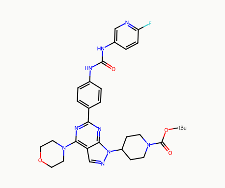 CC(C)(C)OC(=O)N1CCC(n2ncc3c(N4CCOCC4)nc(-c4ccc(NC(=O)Nc5ccc(F)nc5)cc4)nc32)CC1